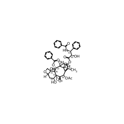 CC(=O)O[C@H]1C(=O)[C@@]2(C)[C@H]([C@H](OC(=O)c3ccccc3)C3(O)C[C@H](OC(=O)[C@H](O)[C@@H](NC(=O)c4ccccc4)c4ccccc4)C(C)=C1C3(C)C)[C@]1(O)CO[C@@H]1C[C@@H]2O